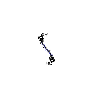 CC(/C=C/C=C(\C)C1C=C2C(C)(C)CC(O)CC2(C)O1)=C\C=C\C=C(C)\C=C\C=C(/C)C1C=C2C(C)(C)CC(O)CC2(C)O1